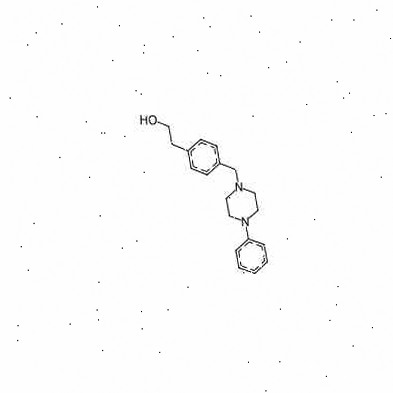 OCCc1ccc(CN2CCN(c3ccccc3)CC2)cc1